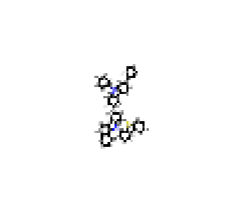 c1ccc(-c2ccc3c4cc(-c5ccc6c(c5)c5ccc7ccccc7c5n6-c5cccc6c5sc5ccccc56)ccc4n(-c4ccccc4)c3c2)cc1